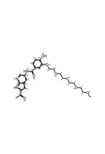 COCCOCCOCCOCCOc1cc(C(=O)Nc2cnc3[nH]c(C(C)=O)cc3c2)ccc1O